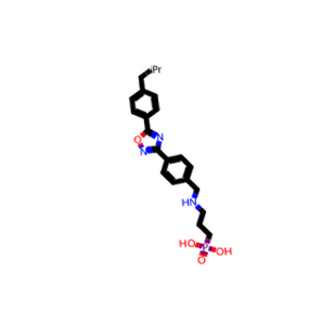 CC(C)Cc1ccc(-c2nc(-c3ccc(CNCCCP(=O)(O)O)cc3)no2)cc1